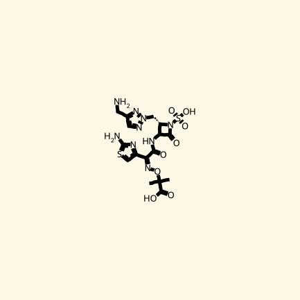 CC(C)(O/N=C(\C(=O)NC1C(=O)N(S(=O)(=O)O)[C@H]1Cn1ncc(CN)n1)c1csc(N)n1)C(=O)O